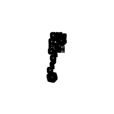 COC(=O)c1ccccc1NNC(=O)COCCCOc1ccccc1